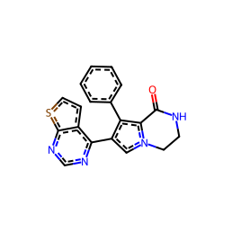 O=C1NCCn2cc(-c3ncnc4sccc34)c(-c3ccccc3)c21